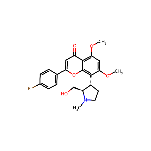 COc1cc(OC)c2c(=O)cc(-c3ccc(Br)cc3)oc2c1[C@@H]1CCN(C)[C@H]1CO